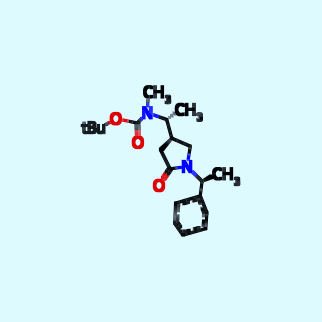 C[C@H]([C@@H]1CC(=O)N([C@@H](C)c2ccccc2)C1)N(C)C(=O)OC(C)(C)C